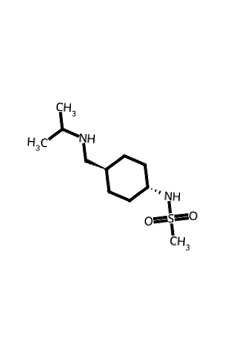 CC(C)NC[C@H]1CC[C@H](NS(C)(=O)=O)CC1